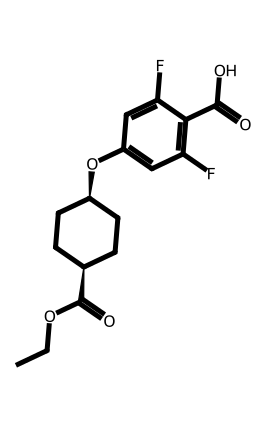 CCOC(=O)[C@H]1CC[C@@H](Oc2cc(F)c(C(=O)O)c(F)c2)CC1